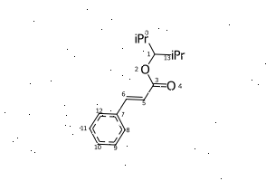 CC(C)C(OC(=O)C=Cc1ccccc1)C(C)C